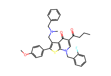 CCCC(=O)c1cn(Cc2ccccc2F)c2sc(-c3ccc(OC)cc3)c(CN(C)Cc3ccccc3)c2c1=O